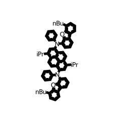 CCCCc1cccc2c1oc1c(N(c3ccccc3)c3cc(C(C)C)c4ccc5c(N(c6ccccc6)c6cccc7c6oc6c(CCCC)cccc67)cc(C(C)C)c6ccc3c4c65)cccc12